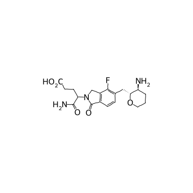 NC(=O)C(CCC(=O)O)N1Cc2c(ccc(C[C@H]3OCCC[C@@H]3N)c2F)C1=O